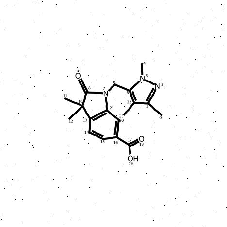 Cc1nn(C)c(CN2C(=O)C(C)(C)c3ccc(C(=O)O)cc32)c1C